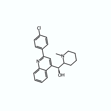 CN1CCCCC1[C@@H](O)c1cc(-c2ccc(Cl)cc2)nc2ccccc12